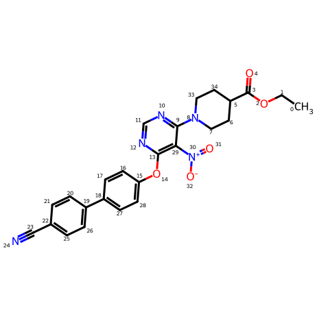 CCOC(=O)C1CCN(c2ncnc(Oc3ccc(-c4ccc(C#N)cc4)cc3)c2[N+](=O)[O-])CC1